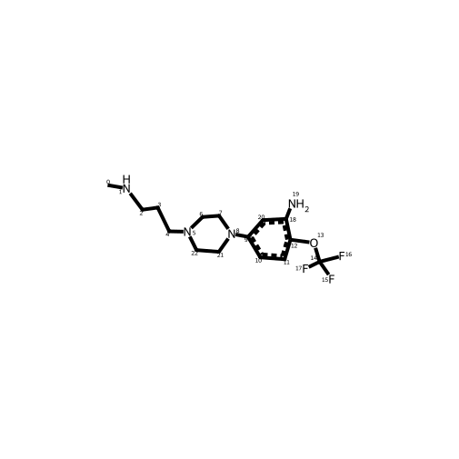 CNCCCN1CCN(c2ccc(OC(F)(F)F)c(N)c2)CC1